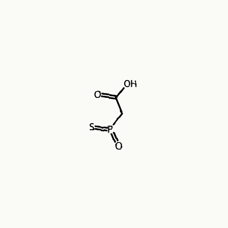 O=C(O)CP(=O)=S